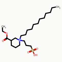 CCCCCCCCCCCC[N+]1(CCCS(=O)(=O)O)CCCC(C(=O)OCC)C1